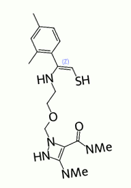 CNC(=O)c1c(NC)[nH]n1COCCN/C(=C\S)c1ccc(C)cc1C